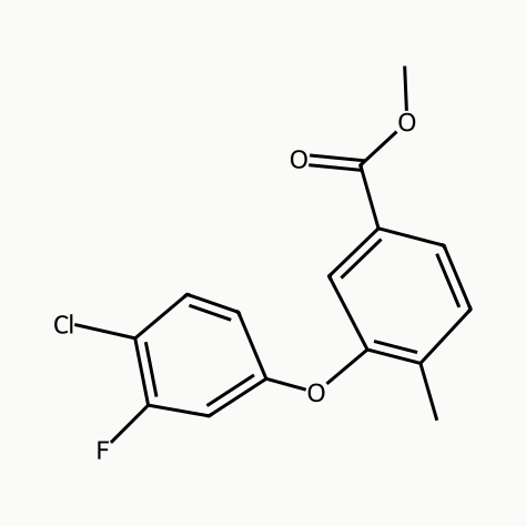 COC(=O)c1ccc(C)c(Oc2ccc(Cl)c(F)c2)c1